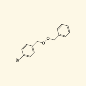 Brc1ccc(COOCc2ccccc2)cc1